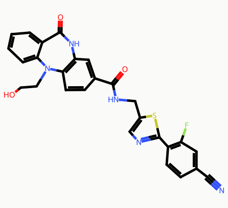 N#Cc1ccc(-c2ncc(CNC(=O)c3ccc4c(c3)NC(=O)c3ccccc3N4CCO)s2)c(F)c1